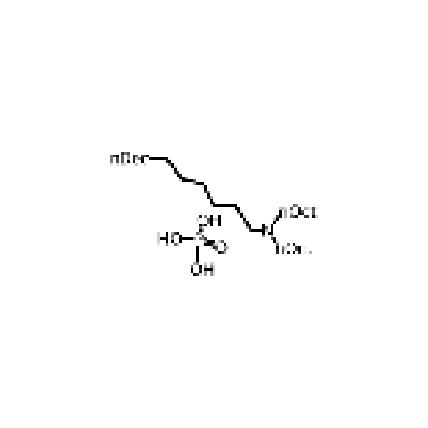 CCCCCCCCCCCCCCCCN(CCCCCCCC)CCCCCCCC.O=P(O)(O)O